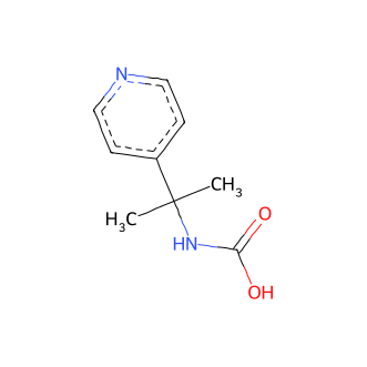 CC(C)(NC(=O)O)c1ccncc1